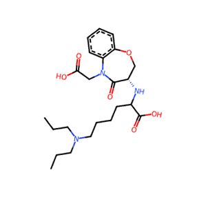 CCCN(CCC)CCCCC(N[C@H]1COc2ccccc2N(CC(=O)O)C1=O)C(=O)O